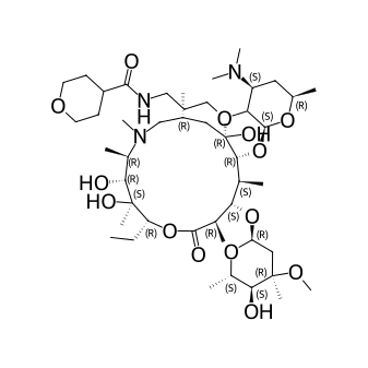 CC[C@H]1OC(=O)[C@H](C)[C@@H](O[C@H]2C[C@@](C)(OC)[C@@H](O)[C@H](C)O2)[C@H](C)[C@@H](O[C@@H]2O[C@H](C)C[C@H](N(C)C)C2OCCCNC(=O)C2CCOCC2)[C@](C)(O)C[C@@H](C)CN(C)[C@H](C)[C@@H](O)[C@]1(C)O